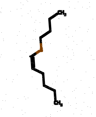 CCCC/C=[C]\SCCCC